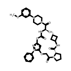 COc1cccc(N2CCN(C(=O)[C@@H](C)NC(=O)Oc3cc(OCC(=O)N4CCC[C@H]4C(=O)NC4CCC4)n(-c4ccccc4)n3)CC2)c1